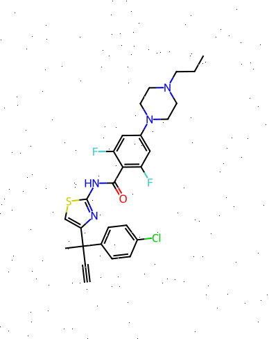 C#CC(C)(c1ccc(Cl)cc1)c1csc(NC(=O)c2c(F)cc(N3CCN(CCC)CC3)cc2F)n1